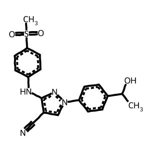 CC(O)c1ccc(-n2cc(C#N)c(Nc3ccc(S(C)(=O)=O)cc3)n2)cc1